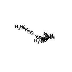 COC(=O)CCCOCCOCCOCCCCCCOc1cccc([C@H](C)NC(=O)c2cccc(NCC(=N)N(C)C(=N)c3ccncn3)c2)c1